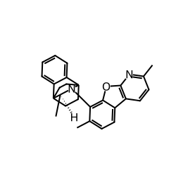 Cc1ccc2c(n1)oc1c(N3[C@@H](C)C45CCC3(CC4)c3ccccc35)c(C)ccc12